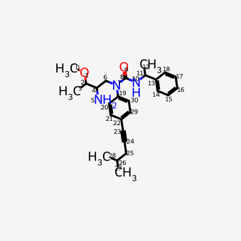 COC(C)C(N)CN(C(=O)NC(C)c1ccccc1)c1ccc(C#CCC(C)C)cc1